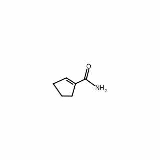 NC(=O)C1=CCCC1